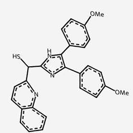 COc1ccc(-c2nc(C(S)c3ccc4ccccc4n3)[nH]c2-c2ccc(OC)cc2)cc1